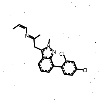 C/C=C\N=C(/C)Cc1c2cccc(-c3ccc(Cl)cc3Cl)c2nn1C